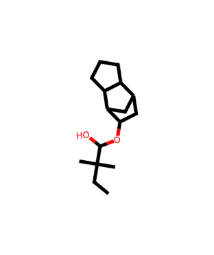 CCC(C)(C)C(O)OC1CC2CC1C1CCCC21